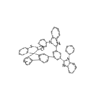 c1ccc(-n2c(-c3cc(-c4ccc5c(c4)C4(c6ccccc6Sc6ccccc64)c4ccccc4-5)cc(-c4nc5ccccc5n4-c4ccccc4)c3)nc3ccccc32)cc1